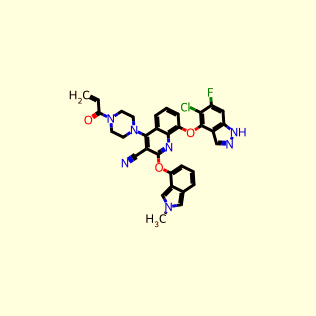 C=CC(=O)N1CCN(c2c(C#N)c(Oc3cccc4cn(C)cc34)nc3c(Oc4c(Cl)c(F)cc5[nH]ncc45)cccc23)CC1